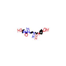 O=C(NCCNC[C@H](O)COc1ccc(O)cc1)N1CC(O)C1